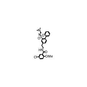 COc1ccc(Cl)cc1C(=O)NCCc1ccc(-c2ccccc2)c(S(=O)(=O)N=CN(C)C)c1